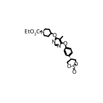 CCOC(=O)N1CCC(Oc2ncnc(Oc3ccc([C@H]4CO[S@@](=O)OC4)cc3)c2C)CC1